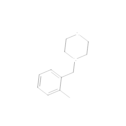 Cc1ccccc1CN1CCNC[C@H]1C